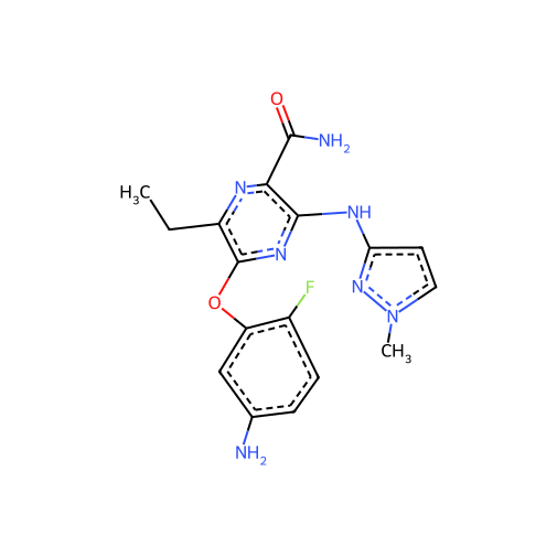 CCc1nc(C(N)=O)c(Nc2ccn(C)n2)nc1Oc1cc(N)ccc1F